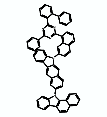 c1ccc(-c2nc(-c3ccccc3-c3ccccc3)nc(-c3cccc4ccc(-n5c6ccccc6c6cc7cc(-n8c9ccccc9c9ccc%10ccccc%10c98)ccc7cc65)cc34)n2)cc1